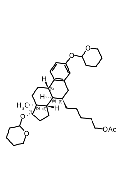 CC(=O)OCCCCC[C@@H]1Cc2cc(OC3CCCCO3)ccc2[C@H]2CC[C@]3(C)[C@@H](OC4CCCCO4)CC[C@H]3[C@H]12